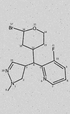 CN1CC(C(c2ncccc2F)C2CCOC(Br)C2)C=N1